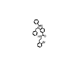 O=C(NCCc1ccccc1Br)c1ccc2nc(-c3ccccc3)n(Cc3ccccc3)c2c1